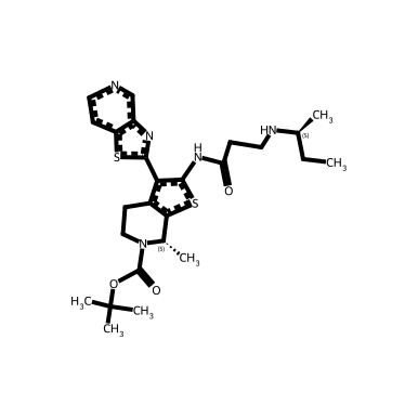 CC[C@H](C)NCCC(=O)Nc1sc2c(c1-c1nc3cnccc3s1)CCN(C(=O)OC(C)(C)C)[C@H]2C